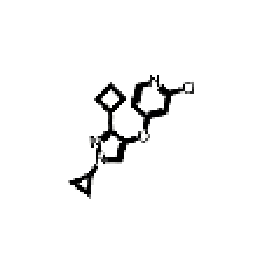 Clc1cc(Oc2cn(C3CC3)nc2C2CCC2)ccn1